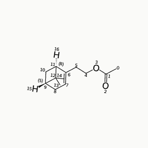 CC(=O)OCCC1=CC[C@@H]2C[C@@H]1C2(C)C